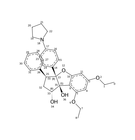 CCOc1cc(OCC)c2c(c1)O[C@@]1(c3ccc(N4CCCC4)cc3)[C@H](c3ccccc3)C[C@@H](O)[C@@]21O